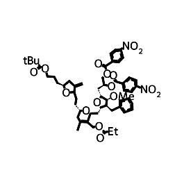 C=C1C[C@H](CCCOC(=O)C(C)(C)C)OC1CC[C@H]1CC(C)=C(COC(=O)CC)C(C[C@@H]2O[C@H](C[C@@H](COC(=O)c3ccc([N+](=O)[O-])cc3)OC(=O)c3ccc([N+](=O)[O-])cc3)[C@H](OC)[C@H]2Cc2ccccc2)O1